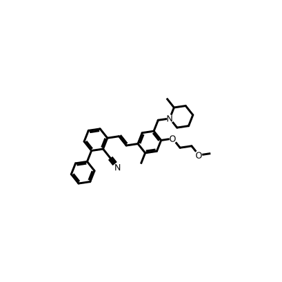 COCCOc1cc(C)c(/C=C/c2cccc(-c3ccccc3)c2C#N)cc1CN1CCCCC1C